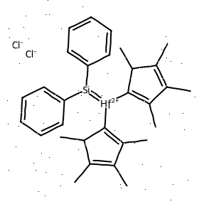 CC1=C(C)C(C)[C]([Hf+2]([C]2=C(C)C(C)=C(C)C2C)=[Si](c2ccccc2)c2ccccc2)=C1C.[Cl-].[Cl-]